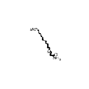 CNCCCCCCCCCCCOCCC(N)=O